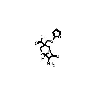 NC1C(=O)N2CC(CSc3ccco3)(C(=O)O)CS[C@H]12